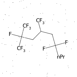 CCCC(F)(F)CC(CC(F)(C(F)(F)F)C(F)(F)F)C(F)(F)F